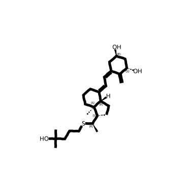 C=C1C(=CC=C2CCC[C@]3(C)[C@@H]([C@@H](C)SCCCC(C)(C)O)CC[C@@H]23)C[C@@H](O)C[C@@H]1O